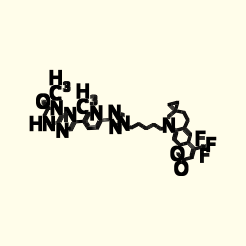 CCN1C(=O)CNc2ncc(-c3ccc(-c4ncn(CCCCCN5CC6(CCC7=CC8C(C(F)(F)F)=CC(=O)OC8C=C75)CC6)n4)nc3C)nc21